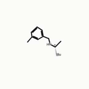 Cc1cccc(CN[C@H](C)C(C)(C)C)c1